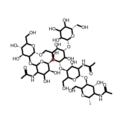 CC(=O)NC1C(OC2[C@@H](OCC3O[C@@H](O[C@@H]4C(CO)O[C@@H](O[C@@H]5C(CO)O[C@@H](C)C(NC(C)=O)[C@H]5O)C(NC(C)=O)[C@H]4O)C(O)[C@@H](O[C@H]4O[C@@H](CO)C(O)C(O)C4O)[C@@H]3O)OC(CO)[C@@H](O)[C@@H]2O)O[C@@H](CO)[C@@H](O)C1O